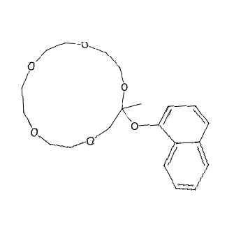 CC1(Oc2cccc3ccccc23)COCCOCCOCCOCCO1